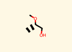 C=C.C=C.COCCO